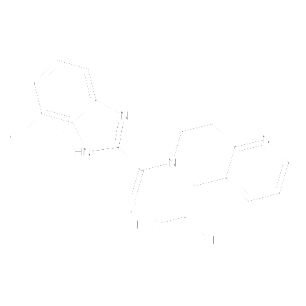 CC(C)[C@H]1c2cccnc2CCN1C(=O)c1nc2cccc(Cl)c2[nH]1